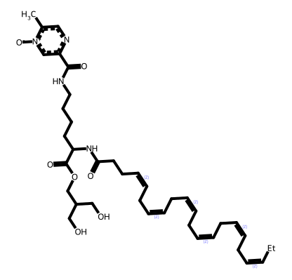 CC/C=C\C/C=C\C/C=C\C/C=C\C/C=C\C/C=C\CCC(=O)NC(CCCCNC(=O)c1c[n+]([O-])c(C)cn1)C(=O)OCC(CO)CO